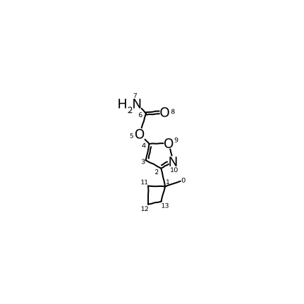 CC1(c2cc(OC(N)=O)on2)CCC1